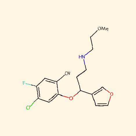 COCCNCCC(Oc1cc(Cl)c(F)cc1C#N)c1ccoc1